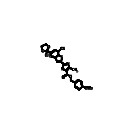 COc1ccc(COC(=O)c2sc(-c3cc4cc(C5(C)OCCO5)cc(C#N)c4s3)nc2C)cc1